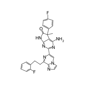 CC1(c2ccc(F)cc2)C(=O)Nc2nc(-c3cn4ccnc4c(CCc4ccccc4F)n3)nc(N)c21